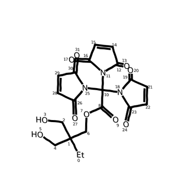 CCC(CO)(CO)COC(=O)C(N1C(=O)C=CC1=O)(N1C(=O)C=CC1=O)N1C(=O)C=CC1=O